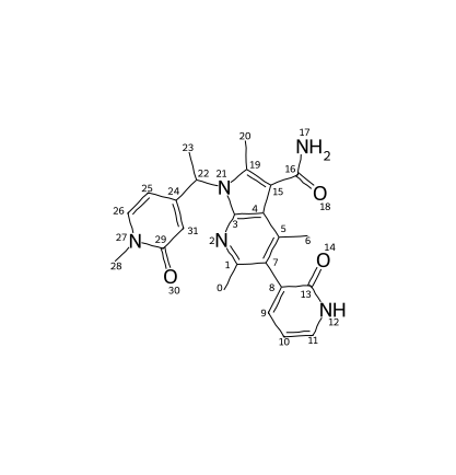 Cc1nc2c(c(C)c1-c1ccc[nH]c1=O)c(C(N)=O)c(C)n2C(C)c1ccn(C)c(=O)c1